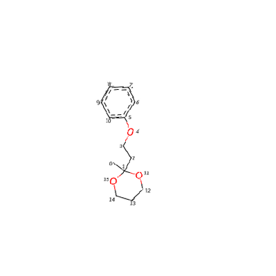 CC1(CCOc2c[c]ccc2)OCCCO1